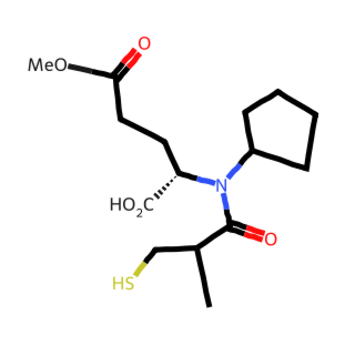 COC(=O)CC[C@@H](C(=O)O)N(C(=O)C(C)CS)C1CCCC1